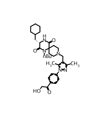 CCCCN1C(=O)[C@H](CC2CCCCC2)NC(=O)C12CCN(Cc1c(C)nn(-c3ccc(C(=O)CO)cc3)c1C)CC2